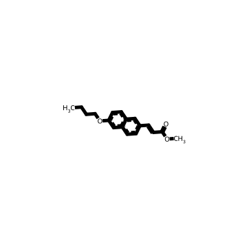 CCCCOc1ccc2cc(C=CC(=O)OC)ccc2c1